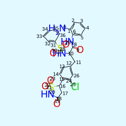 Nc1ccccc1NC(=O)C(Cc1ccc(C2CC(=O)NS2(=O)=O)c(Cl)c1)NS(=O)(=O)c1ccccc1